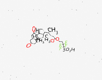 C[C@H](CCC(=O)OCCC(F)(F)C(F)(F)S(=O)(=O)O)[C@H]1CC[C@H]2[C@@H]3C(=O)CC4CC(=O)CC[C@]4(C)[C@H]3CC[C@]12C